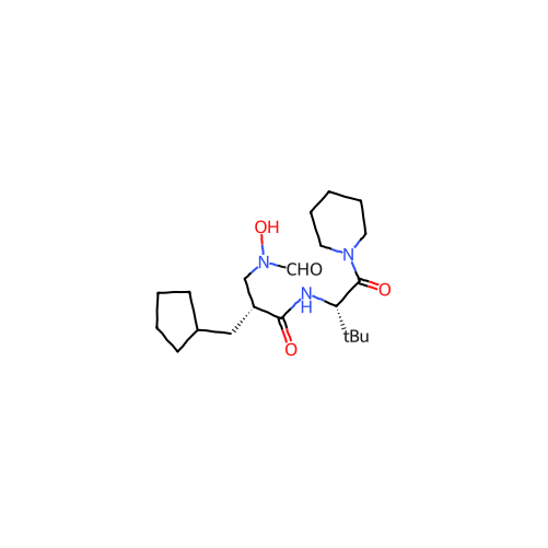 CC(C)(C)[C@H](NC(=O)[C@H](CC1CCCC1)CN(O)C=O)C(=O)N1CCCCC1